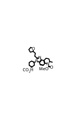 COC(=O)N1c2ccc3c(nc(CCC4CCCO4)n3[C@@H]3CCC[C@H](C(=O)O)C3)c2CCC1C